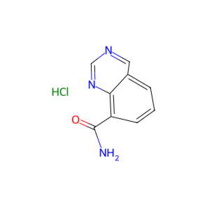 Cl.NC(=O)c1cccc2cncnc12